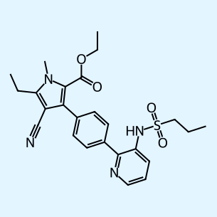 CCCS(=O)(=O)Nc1cccnc1-c1ccc(-c2c(C#N)c(CC)n(C)c2C(=O)OCC)cc1